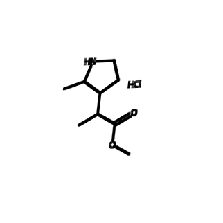 COC(=O)C(C)C1CCNC1C.Cl